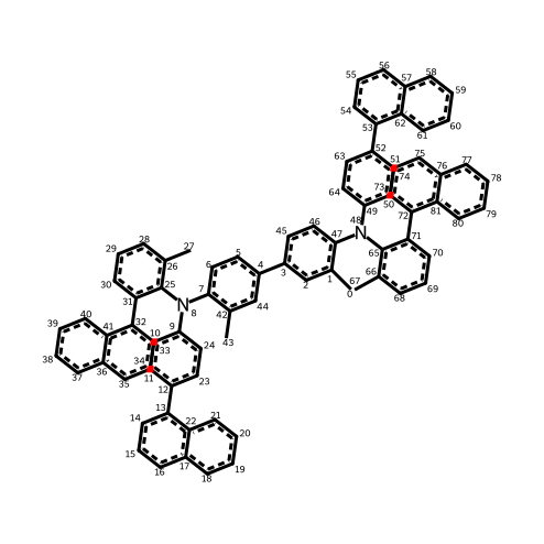 Cc1cc(-c2ccc(N(c3ccc(-c4cccc5ccccc45)cc3)c3c(C)cccc3-c3cccc4ccccc34)c(C)c2)ccc1N(c1ccc(-c2cccc3ccccc23)cc1)c1c(C)cccc1-c1cccc2ccccc12